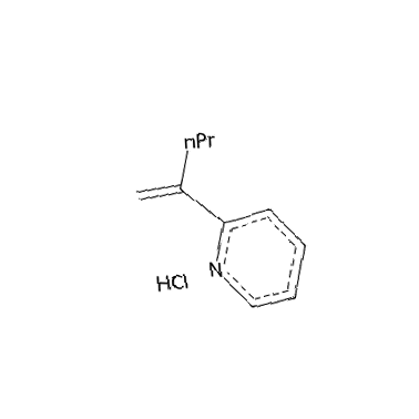 C=C(CCC)c1ccccn1.Cl